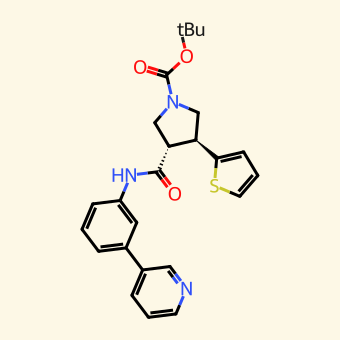 CC(C)(C)OC(=O)N1C[C@@H](C(=O)Nc2cccc(-c3cccnc3)c2)[C@H](c2cccs2)C1